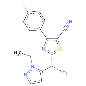 CCn1nccc1C(N)c1nc(-c2ccc(F)cc2)c(C#N)s1